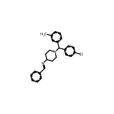 CCc1ccc(C(c2cccc(C)c2)N2CCC(/N=C/c3ccccc3)CC2)cc1